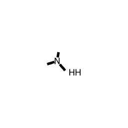 CN(C)C.[HH]